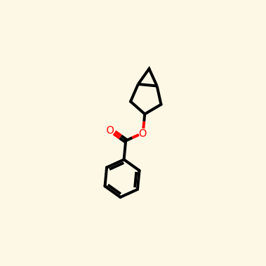 O=C(OC1CC2CC2C1)c1ccccc1